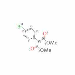 COC(=O)C(C(=O)OC)c1ccc(Br)cc1